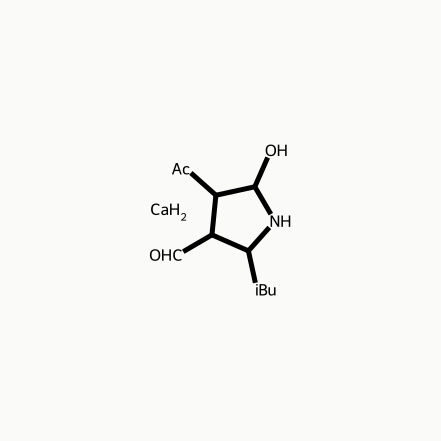 CCC(C)C1NC(O)C(C(C)=O)C1C=O.[CaH2]